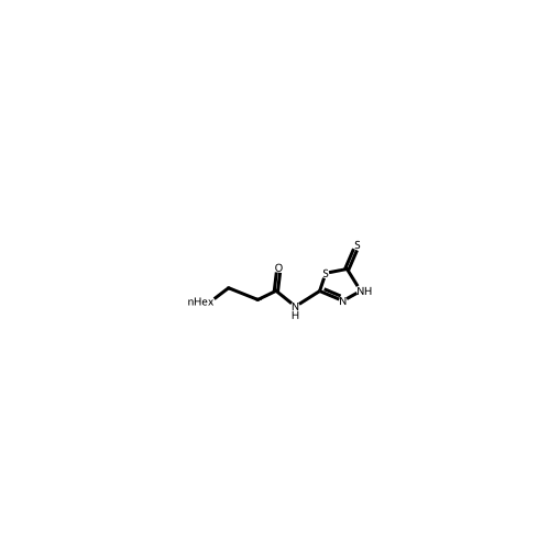 CCCCCCC[CH]C(=O)Nc1n[nH]c(=S)s1